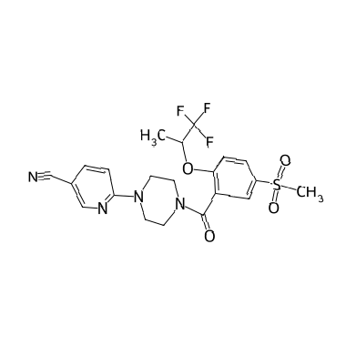 CC(Oc1ccc(S(C)(=O)=O)cc1C(=O)N1CCN(c2ccc(C#N)cn2)CC1)C(F)(F)F